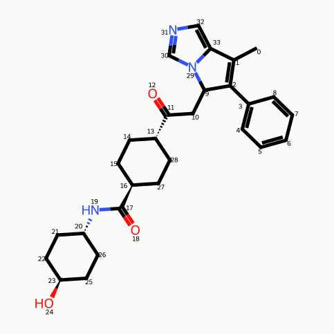 CC1=C(c2ccccc2)C(CC(=O)[C@H]2CC[C@H](C(=O)N[C@H]3CC[C@H](O)CC3)CC2)n2cncc21